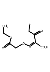 O=C(CON=C(C(=O)O)C(=O)CCl)OCC(Cl)(Cl)Cl